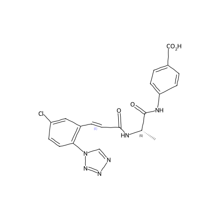 C[C@H](NC(=O)/C=C/c1cc(Cl)ccc1-n1cnnn1)C(=O)Nc1ccc(C(=O)O)cc1